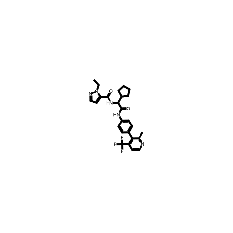 CCn1nccc1C(=O)NC(C(=O)Nc1ccc(-c2c(C(F)(F)F)ccnc2C)cc1)C1CCCC1